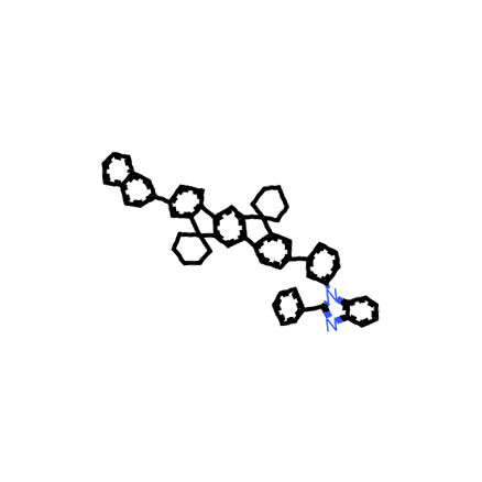 c1ccc(-c2nc3ccccc3n2-c2cccc(-c3ccc4c(c3)C3(CCCCC3)c3cc5c(cc3-4)C3(CCCCC3)c3cc(-c4ccc6ccccc6c4)ccc3-5)c2)cc1